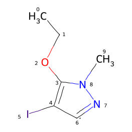 CCOc1c(I)[c]nn1C